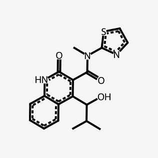 CC(C)C(O)c1c(C(=O)N(C)c2nccs2)c(=O)[nH]c2ccccc12